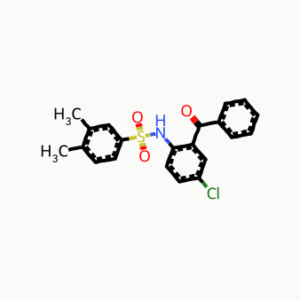 Cc1ccc(S(=O)(=O)Nc2ccc(Cl)cc2C(=O)c2ccccc2)cc1C